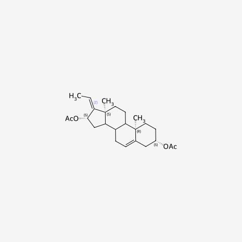 C/C=C1\[C@@H](OC(C)=O)CC2C3CC=C4C[C@@H](OC(C)=O)CC[C@]4(C)C3CC[C@]12C